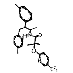 Cc1ccc(CC(c2cccc(C)c2)C(C)NC(=O)C(C)(C)Oc2ccc(C(F)(F)F)cn2)cc1